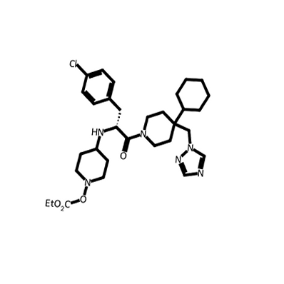 CCOC(=O)ON1CCC(N[C@H](Cc2ccc(Cl)cc2)C(=O)N2CCC(Cn3cncn3)(C3CCCCC3)CC2)CC1